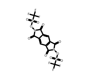 O=c1c2cc3c(=O)n(OS(=O)(=O)C(F)(F)F)c(=O)c3cc2c(=O)n1OS(=O)(=O)C(F)(F)F